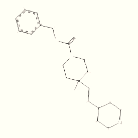 O=C(OCc1ccccc1)N1CCC(F)(CCC2CCNCC2)CC1